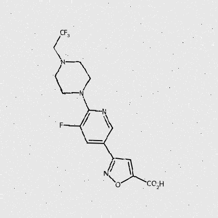 O=C(O)c1cc(-c2cnc(N3CCN(CC(F)(F)F)CC3)c(F)c2)no1